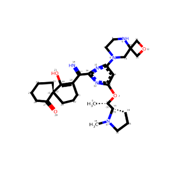 C[C@H](Oc1cc(N2CCNC3(COC3)C2)nc(C(=N)C2=C(O)[C@]3(CCCCC3=O)CCC2)n1)[C@@H]1CCCN1C